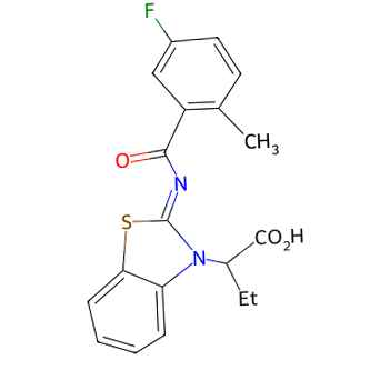 CCC(C(=O)O)n1c(=NC(=O)c2cc(F)ccc2C)sc2ccccc21